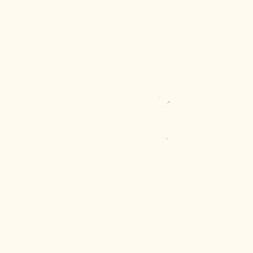 Cc1ccc(-c2ccc(F)c(F)c2)cc1C1=C(O)[C@]2(CC[C@@](O)(C(F)(F)F)CC2)NC1=O